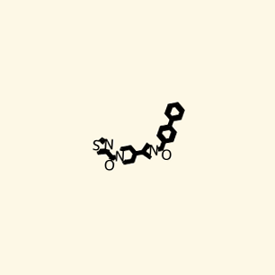 O=C(c1ccc(-c2ccccc2)cc1)N1CC(C2CCN(C(=O)c3cscn3)CC2)C1